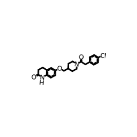 O=C1CCc2cc(OCC3CCN(C(=O)Cc4ccc(Cl)cc4)CC3)ccc2N1